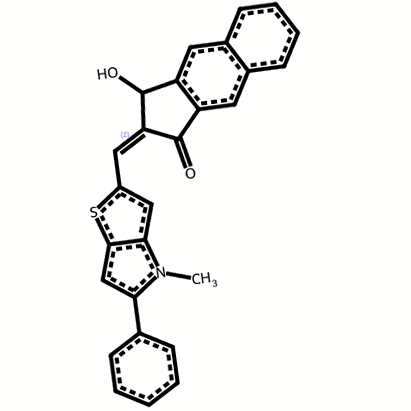 Cn1c(-c2ccccc2)cc2sc(/C=C3\C(=O)c4cc5ccccc5cc4C3O)cc21